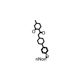 CCCCCCCCCOc1ccc(C2CCC(CC(=O)C3CCC(C)CC3=O)CC2)cc1